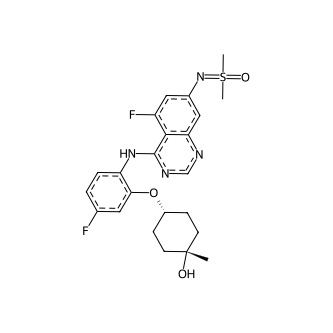 CS(C)(=O)=Nc1cc(F)c2c(Nc3ccc(F)cc3O[C@H]3CC[C@@](C)(O)CC3)ncnc2c1